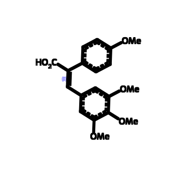 COc1ccc(/C(=C\c2cc(OC)c(OC)c(OC)c2)C(=O)O)cc1